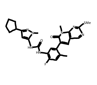 CSc1ncc2cc(-c3cc(NC(=O)Nc4cc(C5CCCC5)nn4C)c(F)cc3C)c(=O)n(C)c2n1